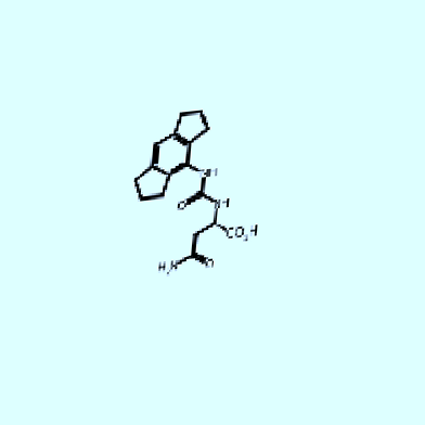 NC(=O)C[C@@H](NC(=O)Nc1c2c(cc3c1CCC3)CCC2)C(=O)O